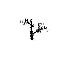 CCCCCCC(CCCC)C(=O)OCCCCCCOCC(COCc1ccccc1)OCCCCCCOC(=O)C(CCCC)CCCCCC